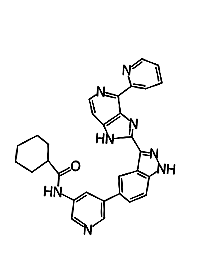 O=C(Nc1cncc(-c2ccc3[nH]nc(-c4nc5c(-c6ccccn6)nccc5[nH]4)c3c2)c1)C1CCCCC1